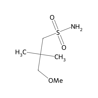 COCC(C)(C)CS(N)(=O)=O